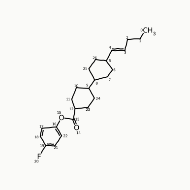 CCCC=CC1CCC(C2CCC(C(=O)Oc3ccc(F)cc3)CC2)CC1